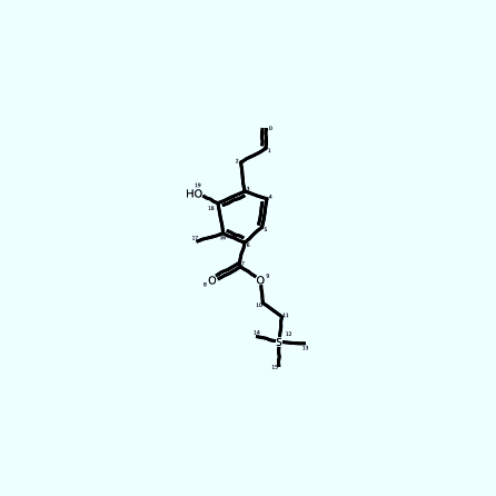 C=CCc1ccc(C(=O)OCCS(C)(C)C)c(C)c1O